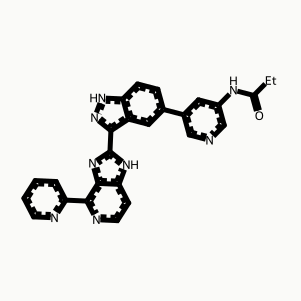 CCC(=O)Nc1cncc(-c2ccc3[nH]nc(-c4nc5c(-c6ccccn6)nccc5[nH]4)c3c2)c1